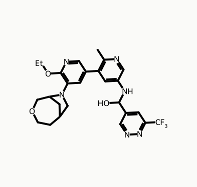 CCOc1ncc(-c2cc(NC(O)c3cnnc(C(F)(F)F)c3)cnc2C)cc1N1CC2CCOCC1C2